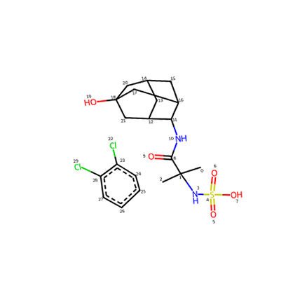 CC(C)(NS(=O)(=O)O)C(=O)NC1C2CC3CC1CC(O)(C3)C2.Clc1ccccc1Cl